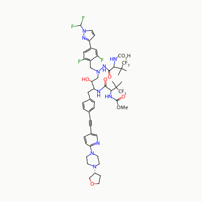 COC(=O)NC(C(=O)NC(Cc1ccc(C#Cc2ccc(N3CCN([C@@H]4CCOC4)CC3)nc2)cc1)C(O)CN(Cc1c(F)cc(-c2ccn(C(F)F)n2)cc1F)NC(=O)C(NC(=O)O)C(C)(C)C(F)(F)F)C(C)(C)C(F)(F)F